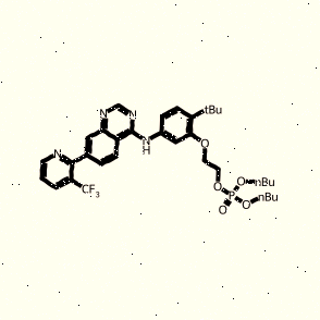 CCCCOP(=O)(OCCCC)OCCOc1cc(Nc2ncnc3cc(-c4ncccc4C(F)(F)F)ccc23)ccc1C(C)(C)C